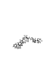 CC(C)[C@@H](C)c1cc(OCCN[C@@H]2CC[C@]23C[C@H](c2cc4cc(-c5ccccc5O)nnc4[nH]2)C3)no1